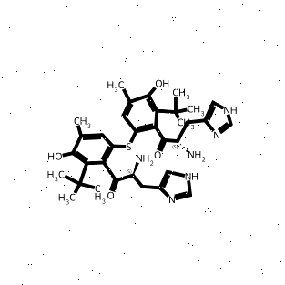 Cc1cc(Sc2cc(C)c(O)c(C(C)(C)C)c2C(=O)[C@@H](N)Cc2c[nH]cn2)c(C(=O)[C@@H](N)Cc2c[nH]cn2)c(C(C)(C)C)c1O